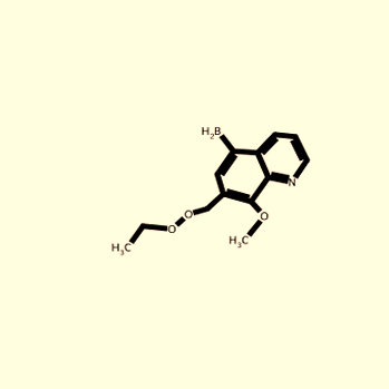 Bc1cc(COOCC)c(OC)c2ncccc12